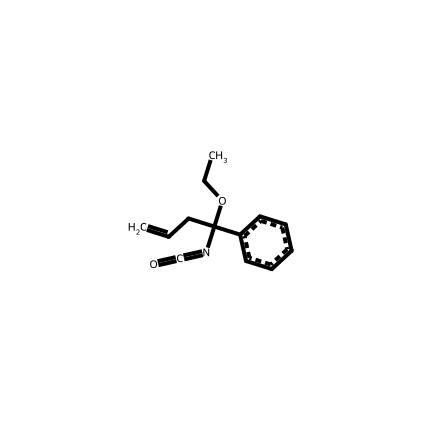 C=CCC(N=C=O)(OCC)c1ccccc1